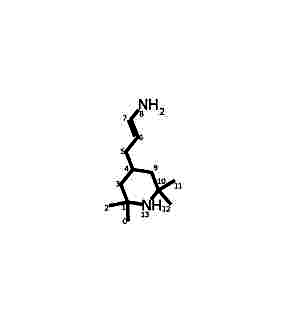 CC1(C)CC(CC=CN)CC(C)(C)N1